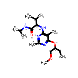 CCC(COC)Oc1nc(C)nc(NC(C(=O)NC(C)C)C(C)C)c1C